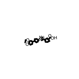 O=C(O)c1cccc(-c2cn(-c3ccc(-c4ccc5c(c4)OCCO5)cc3)nn2)c1